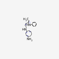 C/C=C(\C=C/CNC1=C/C=C(/N)CC/C=C\1)Nc1ccccc1